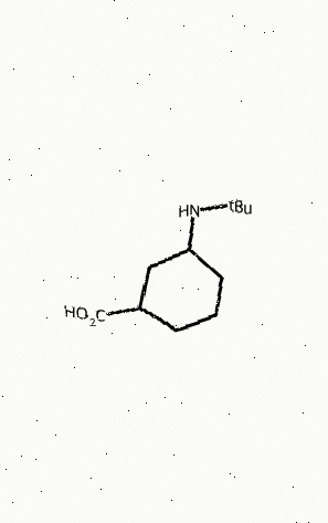 CC(C)(C)NC1CCCC(C(=O)O)C1